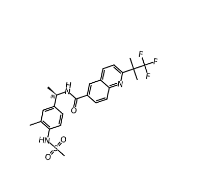 Cc1cc([C@@H](C)NC(=O)c2ccc3nc(C(C)(C)C(F)(F)F)ccc3c2)ccc1NS(C)(=O)=O